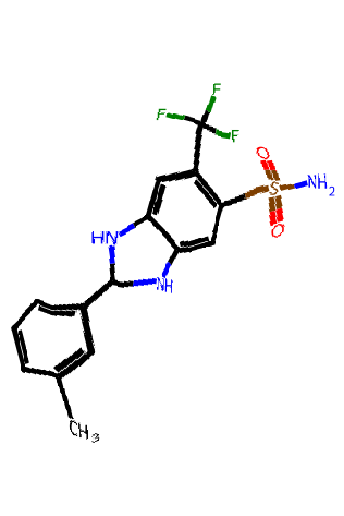 Cc1cccc(C2Nc3cc(C(F)(F)F)c(S(N)(=O)=O)cc3N2)c1